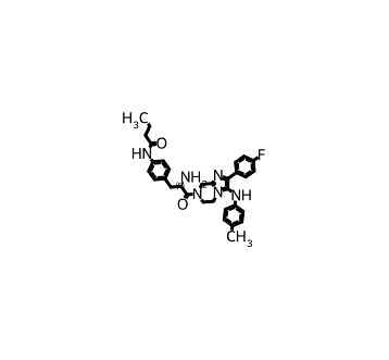 CCCC(=O)Nc1ccc(C[C@H](N)C(=O)N2CCn3c(nc(-c4ccc(F)cc4)c3Nc3ccc(C)cc3)C2)cc1